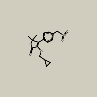 CC1(C)OC(=O)C(OCC2CC2)=C1c1ccc(C[SH](=O)=O)cc1